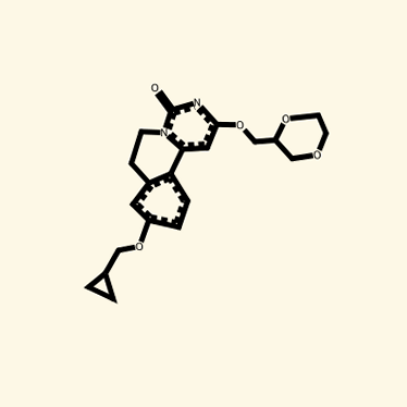 O=c1nc(OCC2COCCO2)cc2n1CCc1cc(OCC3CC3)ccc1-2